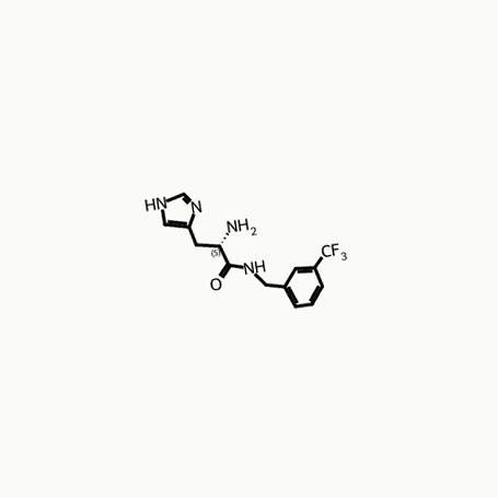 N[C@@H](Cc1c[nH]cn1)C(=O)NCc1cccc(C(F)(F)F)c1